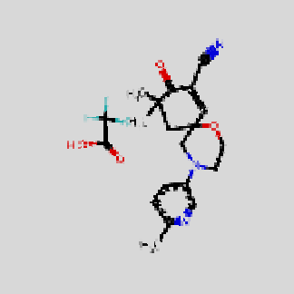 Cc1ccc(N2CCOC3(C=C(C#N)C(=O)C(C)(C)C3)C2)cn1.O=C(O)C(F)(F)F